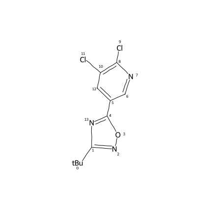 CC(C)(C)c1noc(-c2cnc(Cl)c(Cl)c2)n1